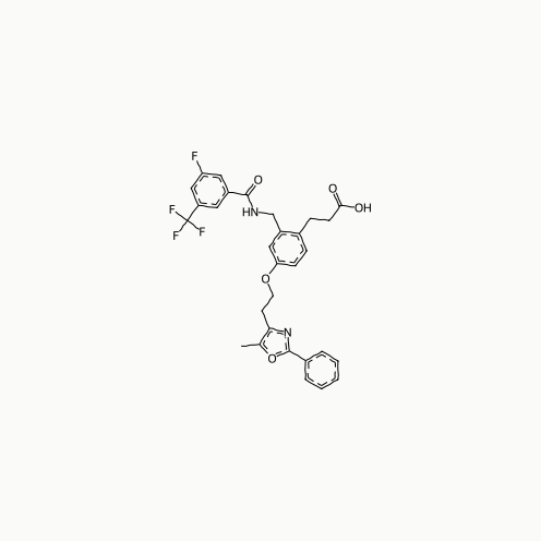 Cc1oc(-c2ccccc2)nc1CCOc1ccc(CCC(=O)O)c(CNC(=O)c2cc(F)cc(C(F)(F)F)c2)c1